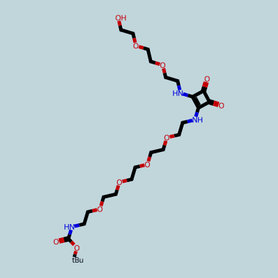 CC(C)(C)OC(=O)NCCOCCOCCOCCOCCNc1c(NCCOCCOCCO)c(=O)c1=O